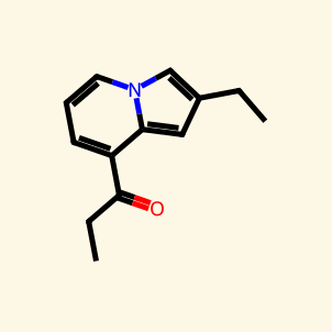 CCC(=O)c1cccn2cc(CC)cc12